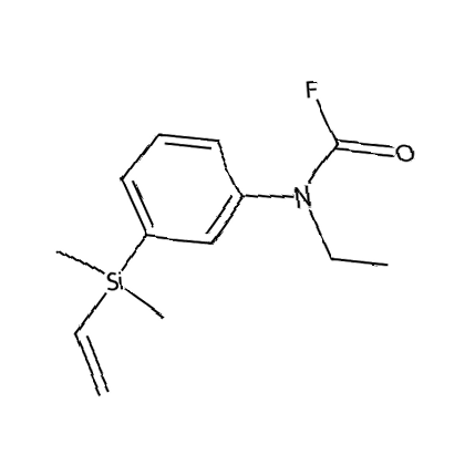 C=C[Si](C)(C)c1cccc(N(CC)C(=O)F)c1